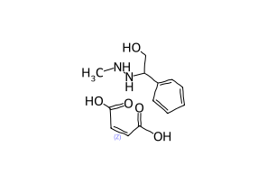 CNNC(CO)c1ccccc1.O=C(O)/C=C\C(=O)O